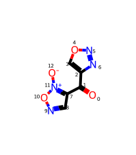 O=C(c1conn1)c1cno[n+]1[O-]